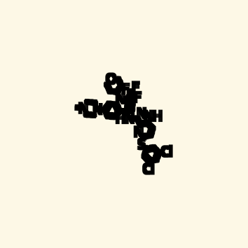 CN1CCN(c2ccc(C(=O)Nc3n[nH]c4ccc(Sc5cc(Cl)cc(Cl)c5)nc34)c(N(C(=O)C(F)(F)F)C3CCOCC3)c2)CC1